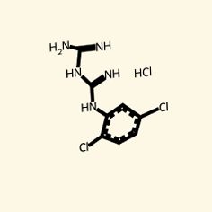 Cl.N=C(N)NC(=N)Nc1cc(Cl)ccc1Cl